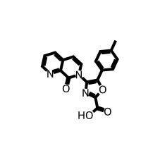 Cc1ccc(-c2oc(C(=O)O)nc2-n2ccc3cccnc3c2=O)cc1